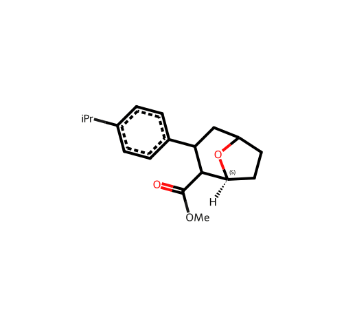 COC(=O)C1C(c2ccc(C(C)C)cc2)CC2CC[C@@H]1O2